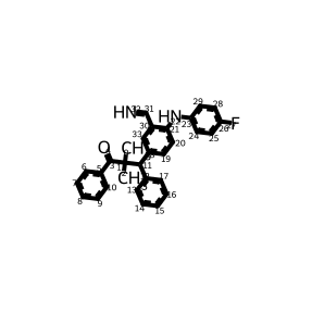 CC(C)(C(=O)c1ccccc1)C(c1ccccc1)c1ccc(Nc2ccc(F)cc2)c(C=N)c1